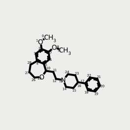 COc1cc2c(cc1OC)C(CCN1CCC(c3ccccc3)CC1)OCCC2